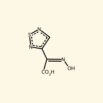 O=C(O)C(=NO)c1cnsn1